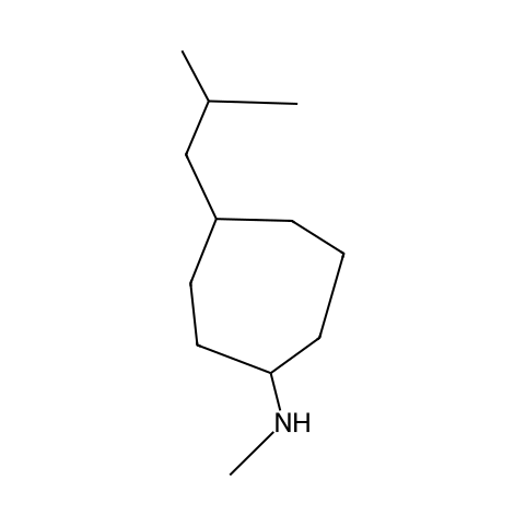 CNC1CCCC(CC(C)C)CC1